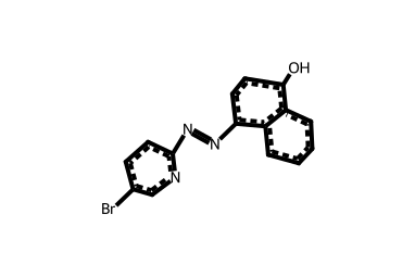 Oc1ccc(N=Nc2ccc(Br)cn2)c2ccccc12